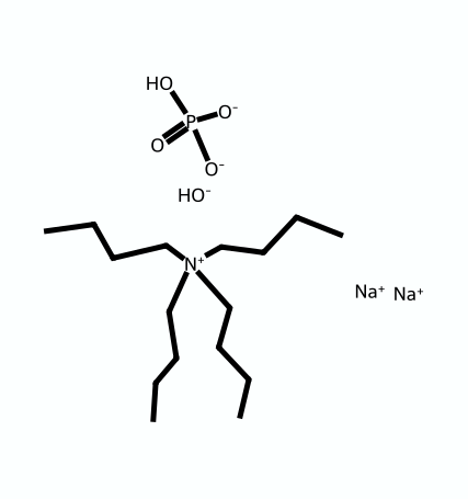 CCCC[N+](CCCC)(CCCC)CCCC.O=P([O-])([O-])O.[Na+].[Na+].[OH-]